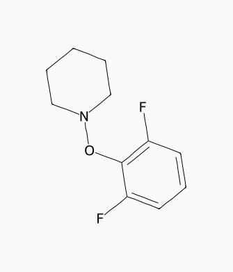 Fc1cccc(F)c1ON1CCCCC1